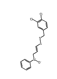 [O-][S+](C/C=C/SSCc1ccc(Cl)c(Cl)c1)c1ccccc1